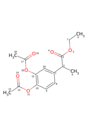 CCOC(=O)C(C)c1ccc(OC(C)=O)c(OC(C)=O)c1